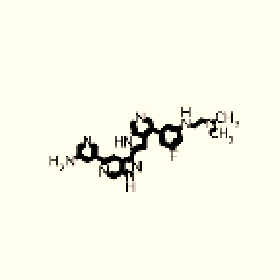 CN(C)CCNc1cc(F)cc(-c2cncc3[nH]c(-c4n[nH]c5cnc(-c6cncc(N)c6)cc45)cc23)c1